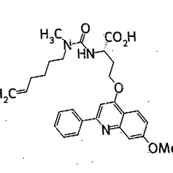 C=CCCCCN(C)C(=O)N[C@@H](CCOc1cc(-c2ccccc2)nc2cc(OC)ccc12)C(=O)O